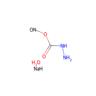 NNC(=O)ON=O.O.[NaH]